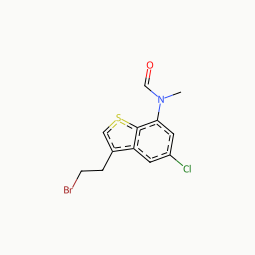 CN(C=O)c1cc(Cl)cc2c(CCBr)csc12